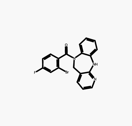 O=C(c1ccc(F)cc1Br)N1Cc2cccnc2Nc2ccccc21